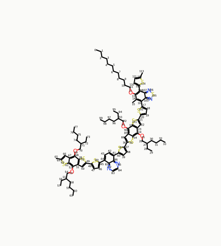 CCCCCCCCCCCCOc1c(C)c(-c2ccc(-c3cc4c(OCC(CC)CCCC)c5sc(-c6ccc(-c7ccc(-c8ccc(-c9cc%10c(OCC(CC)CCCC)c%11sc(C)cc%11c(OCC(CC)CCCC)c%10s9)s8)c8nccnc78)s6)cc5c(OCC(CC)CCCC)c4s3)s2)c2nsnc2c1-c1ccc(C)s1